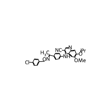 COc1cc2c(Nc3ccc(C(C)=NOCc4ccc(Cl)cc4)cc3)c(C#N)cnc2cc1OC(C)C